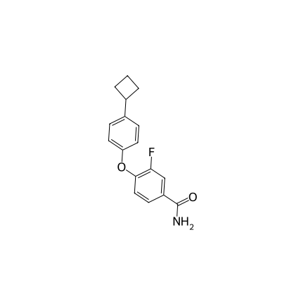 NC(=O)c1ccc(Oc2ccc(C3CCC3)cc2)c(F)c1